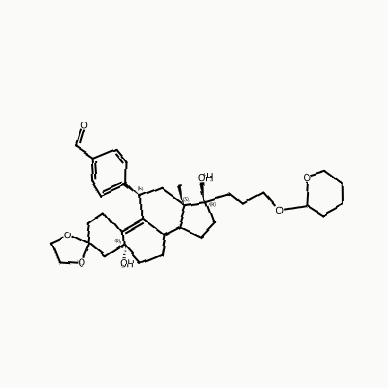 C[C@]12C[C@H](c3ccc(C=O)cc3)C3=C4CCC5(C[C@]4(O)CCC3C1CC[C@@]2(O)CCCOC1CCCCO1)OCCO5